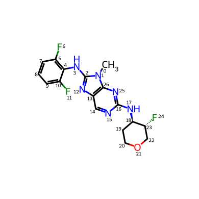 Cn1c(Nc2c(F)cccc2F)nc2cnc(N[C@@H]3CCOC[C@H]3F)nc21